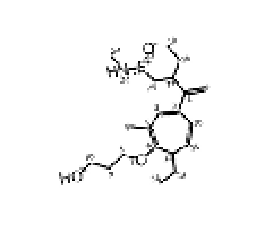 C=C(C1=CC(C)=C(OCCCO)C(CC)C=C1)C(CC)C[S+]([O-])NC